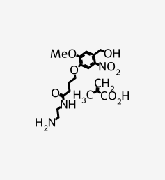 C=C(C)C(=O)O.COc1cc(CO)c([N+](=O)[O-])cc1OCCCC(=O)NCCN